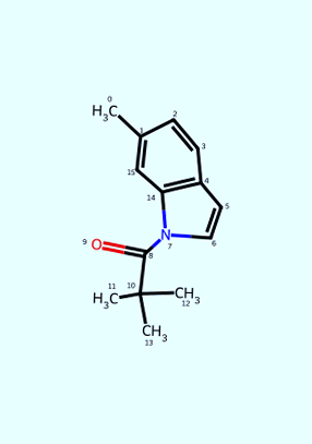 Cc1ccc2ccn(C(=O)C(C)(C)C)c2c1